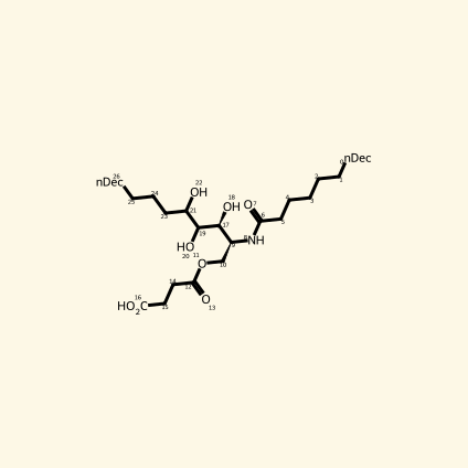 CCCCCCCCCCCCCCCC(=O)N[C@@H](COC(=O)CCC(=O)O)[C@H](O)C(O)C(O)CCCCCCCCCCCCC